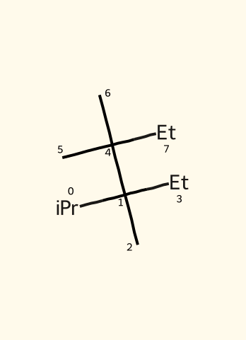 [CH2]C(C)C(C)(CC)C(C)(C)CC